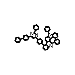 c1ccc(-c2ccc(-c3cc(-c4ccc(-c5cccc6nc(-c7ccccc7)c7c(ccc8c7c7ccccc7n8-c7ccccc7)c56)cc4)nc(-c4ccccc4)n3)cc2)cc1